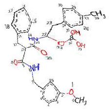 COc1cccc(CNC(=O)C(Cc2ccccc2)C(=O)NC(Cc2ccc(C)cc2)OB(O)O)c1